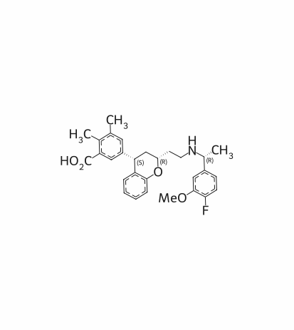 COc1cc([C@@H](C)NCC[C@H]2C[C@@H](c3cc(C)c(C)c(C(=O)O)c3)c3ccccc3O2)ccc1F